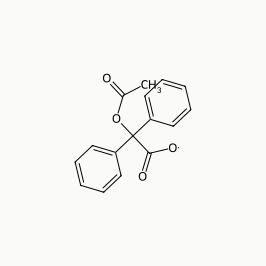 CC(=O)OC(C([O])=O)(c1ccccc1)c1ccccc1